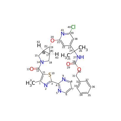 Cc1nc(-c2ncccn2)sc1C(=O)N1C[C@@H]2[C@H](C1)[C@H]2Oc1cc(C(C)(C)NC(=O)OCc2ccccc2)cc(Cl)n1